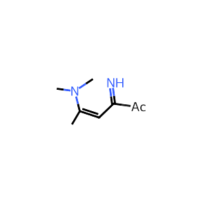 CC(=O)C(=N)/C=C(/C)N(C)C